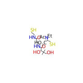 CC(C)(CO)C(O)C(=O)NCCC(=O)NCCS.CCN(C(C)=O)C(CS)C(=O)O